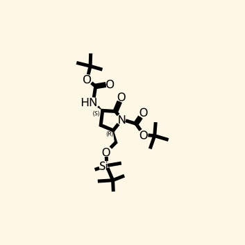 CC(C)(C)OC(=O)N[C@H]1C[C@H](CO[Si](C)(C)C(C)(C)C)N(C(=O)OC(C)(C)C)C1=O